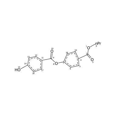 CCCOC(=O)c1ccc(OC(=O)c2ccc(O)cc2)cc1